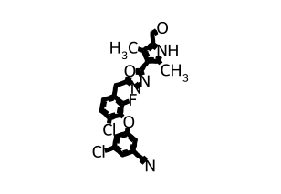 Cc1[nH]c(C=O)c(C)c1-c1nnc(Cc2ccc(Cl)c(Oc3cc(Cl)cc(C#N)c3)c2F)o1